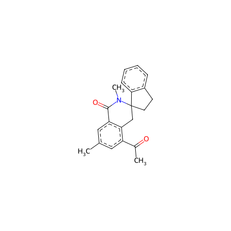 CC(=O)c1cc(C)cc2c1CC1(CCc3ccccc31)N(C)C2=O